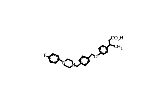 CC(CC(=O)O)c1ccc(OCc2ccc(CN3CCN(c4ccc(F)cc4)CC3)cc2)cc1